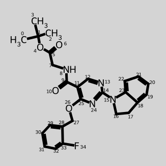 CC(C)(C)OC(=O)CNC(=O)c1cnc(N2CCc3ccccc32)nc1OCc1ccccc1F